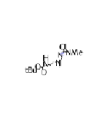 CN/C(Cl)=N\CN(C)CCNC(=O)OC(C)(C)C